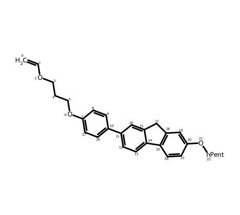 C=COCCCOc1ccc(-c2ccc3c(c2)Cc2cc(OCCCCC)ccc2-3)cc1